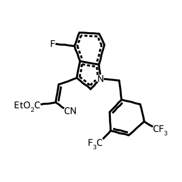 CCOC(=O)/C(C#N)=C/c1cn(CC2=CC(C(F)(F)F)=CC(C(F)(F)F)C2)c2cccc(F)c12